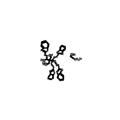 O=C(O)CO.OCC(CO)(C(O)SSc1nc2ccccc2s1)C(OSSc1nc2ccccc2s1)(SSc1nc2ccccc2s1)SSc1nc2ccccc2s1